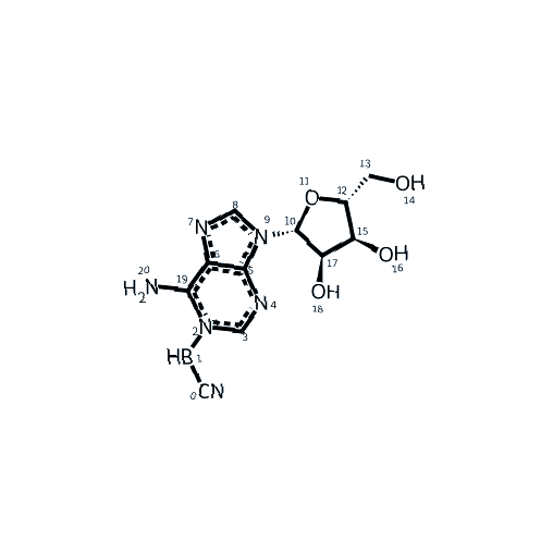 N#CB[n+]1cnc2c(ncn2[C@@H]2O[C@H](CO)[C@@H](O)[C@H]2O)c1N